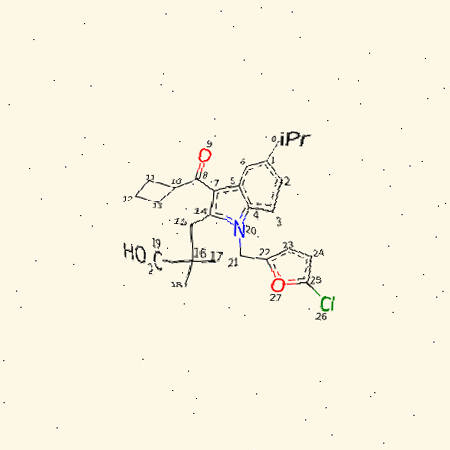 CC(C)c1ccc2c(c1)c(C(=O)C1CCC1)c(CC(C)(C)C(=O)O)n2Cc1ccc(Cl)o1